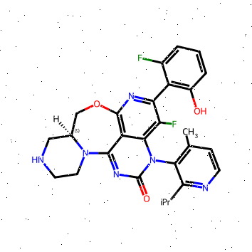 Cc1ccnc(C(C)C)c1-n1c(=O)nc2c3c(nc(-c4c(O)cccc4F)c(F)c31)OC[C@@H]1CNCCN21